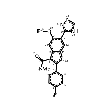 CNC(=O)c1c(-c2ccc(F)cc2)oc2cc(-c3nnc[nH]3)c(OC(C)C)cc12